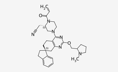 C=CC(=O)N1CCN(c2nc(OCC3CCCN3C)nc3c2CC[C@@]2(CCc4ccccc42)C3)C[C@@H]1CC#N